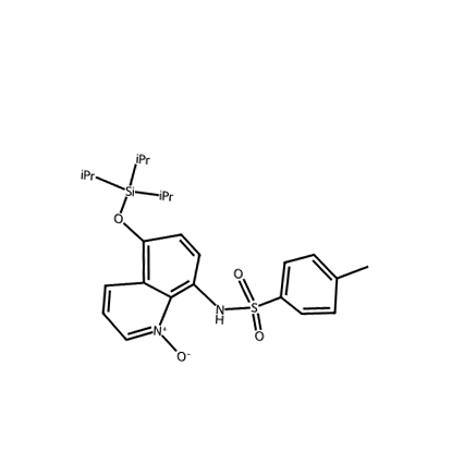 Cc1ccc(S(=O)(=O)Nc2ccc(O[Si](C(C)C)(C(C)C)C(C)C)c3ccc[n+]([O-])c23)cc1